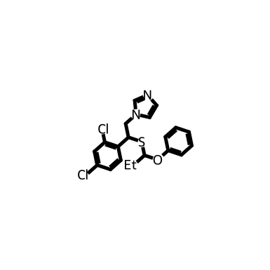 CCC(Oc1ccccc1)SC(Cn1ccnc1)c1ccc(Cl)cc1Cl